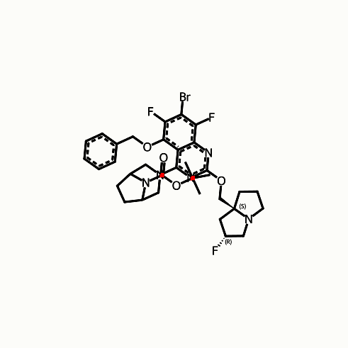 CC(C)(C)OC(=O)N1C2CCC1CN(c1nc(OC[C@@]34CCCN3C[C@H](F)C4)nc3c(F)c(Br)c(F)c(OCc4ccccc4)c13)C2